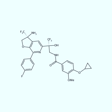 COc1cc(C(=O)NC[C@](O)(c2cc3c(c(-c4ccc(F)cc4)n2)OC[C@]3(N)C(F)(F)F)C(F)(F)F)ccc1OC1CC1